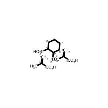 C=C(C)C(=O)O.C=C(C)C(=O)O.O=C(O)C1CCCCC1C(=O)O